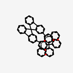 c1ccc(-c2ccccc2N(c2ccccc2)c2ccc3c(c2)C2(c4ccccc4-3)c3ccccc3-c3ccc(N(c4ccccc4)c4ccccc4-c4ccccc4)cc32)cc1